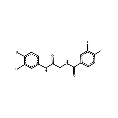 O=C(CNC(=O)c1ccc(F)c(F)c1)Nc1ccc(F)c(Cl)c1